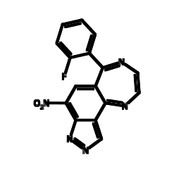 O=[N+]([O-])c1cc2c(-c3ccccc3F)nccnc2c2cnnc12